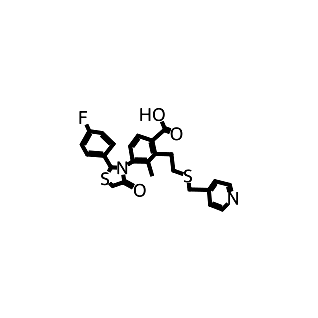 Cc1c(N2C(=O)CSC2c2ccc(F)cc2)ccc(C(=O)O)c1CCSCc1ccncc1